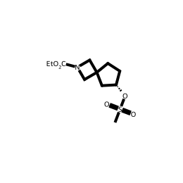 CCOC(=O)N1CC2(CC[C@H](OS(C)(=O)=O)C2)C1